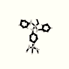 CC[Si](Oc1ccccc1)(Oc1ccccc1)Oc1ccccc1.CO[Si](C)(C)OC